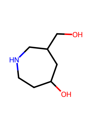 OCC1CNCCC(O)C1